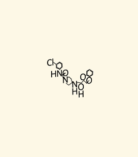 O=C(CN1CCC(NCC(O)C2COc3ccccc3O2)CC1)Nc1cccc(Cl)c1